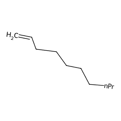 [CH]CCCCCCCC=C